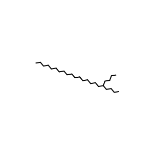 CCCCCCCCCCCCCCCCC[C](CCCC)CCCC